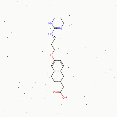 O=C(O)CC1CCc2cc(OCCCNC3=NCCCN3)ccc2C1